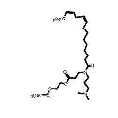 CCCCC/C=C\C/C=C\CCCCCCCC(=O)N(CCCN(C)C)CCC(=O)OCCSSCCCCCCCCCC